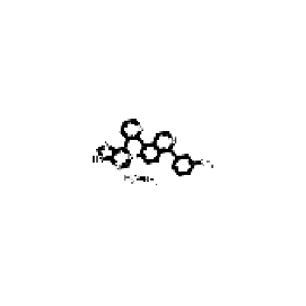 Cc1ccc2c(-c3cccc(C(F)(F)F)c3)nccc2c1-c1ncccc1-c1ncnc2[nH]cnc12.NN